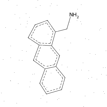 NCc1cccc2cc3ccccc3cc12